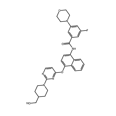 O=C(Nc1ccc(Oc2ccnc(N3CCC(CO)CC3)n2)c2ccccc12)c1cc(F)cc(N2CCOCC2)c1